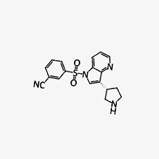 N#Cc1cccc(S(=O)(=O)n2cc([C@@H]3CCNC3)c3ncccc32)c1